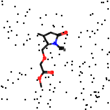 BN1C(=O)CC(C)C1COCC(=O)OC